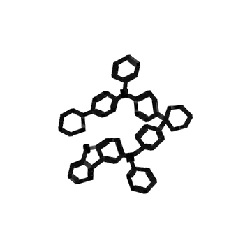 c1ccc(N(c2ccc(C3CCCCC3)cc2)c2ccc(C3(c4ccc(N(c5ccccc5)c5ccc6sc7ccccc7c6c5)cc4)CCCCC3)cc2)cc1